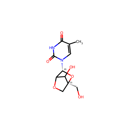 Cc1cn([C@@H]2O[C@@]3(CO)COC2C3O)c(=O)[nH]c1=O